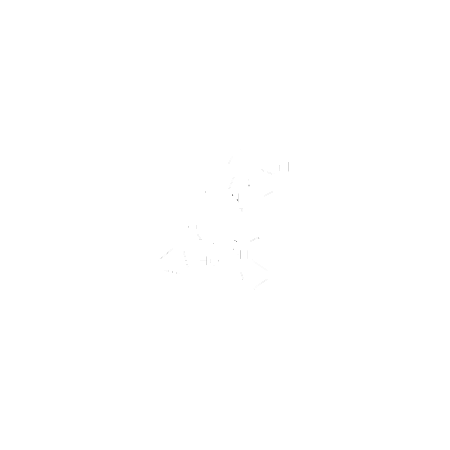 CC(=O)c1c(Cl)n([C@H]2C[C@@](O)(C(=O)c3ccc(C)cc3)[C@@H](C(O)C(=O)c3ccc(C)cc3)O2)c2cc(Cl)c(Cl)cc12